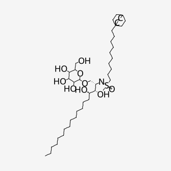 CCCCCCCCCCCCCC[C@@H](O)[C@@H](O)[C@H](COC1OC(CO)C(O)C(O)C1O)N=S(C)(=O)CCCCCCCCCCC12CCC(CC1)CC2